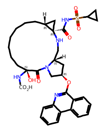 O=C(O)N[C@]1(O)CCCCCCC[C@@H]2C[C@@]2(C(=O)NS(=O)(=O)C2CC2)NC[C@@H]2C[C@@H](Oc3nc4ccccc4c4ccccc34)CN2C1=O